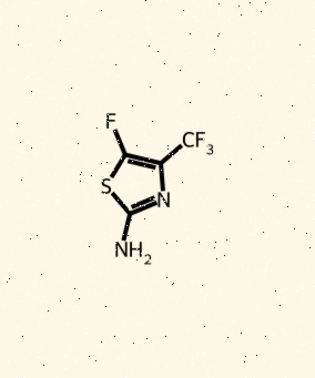 Nc1nc(C(F)(F)F)c(F)s1